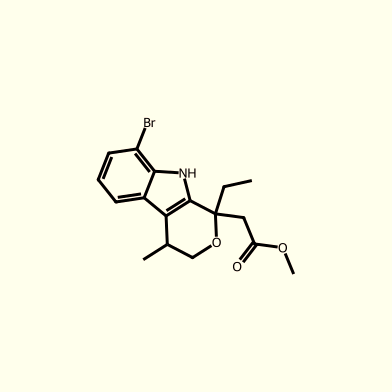 CCC1(CC(=O)OC)OCC(C)c2c1[nH]c1c(Br)cccc21